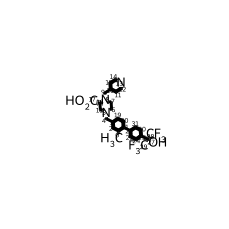 Cc1cc(CN2CCN(Cc3ccncc3)[C@@H](C(=O)O)C2)ccc1-c1ccc(C(O)(C(F)(F)F)C(F)(F)F)cc1